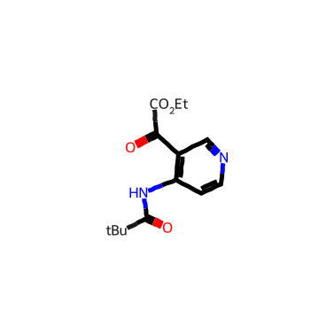 CCOC(=O)C(=O)c1cnccc1NC(=O)C(C)(C)C